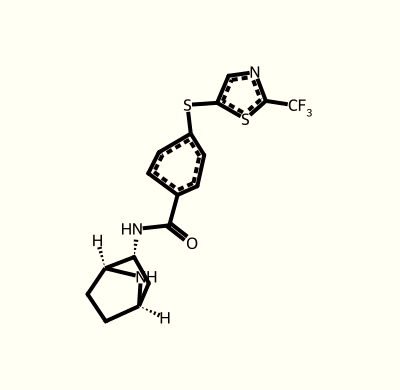 O=C(N[C@@H]1C[C@H]2CC[C@@H]1N2)c1ccc(Sc2cnc(C(F)(F)F)s2)cc1